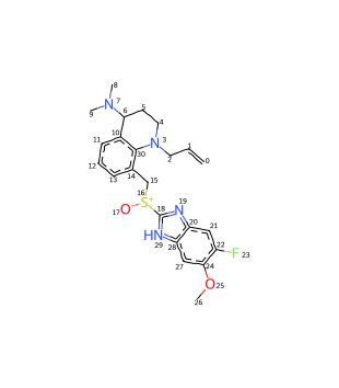 C=CCN1CCC(N(C)C)c2cccc(C[S+]([O-])c3nc4cc(F)c(OC)cc4[nH]3)c21